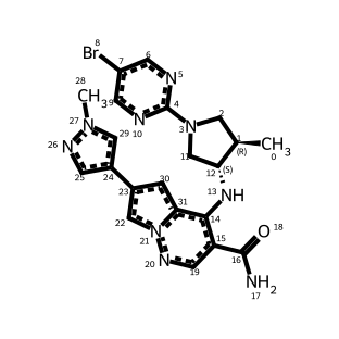 C[C@@H]1CN(c2ncc(Br)cn2)C[C@H]1Nc1c(C(N)=O)cnn2cc(-c3cnn(C)c3)cc12